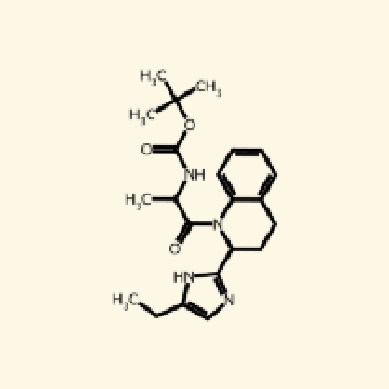 CCc1cnc(C2CCc3ccccc3N2C(=O)C(C)NC(=O)OC(C)(C)C)[nH]1